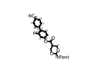 CCCCCC1OCC(C(=O)Oc2ccc(-c3ccc(C#N)cc3)c(F)c2)CO1